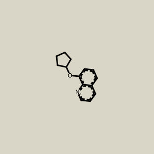 c1cnc2c(OC3CCCC3)cccc2c1